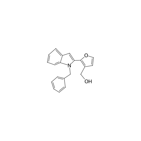 OCc1ccoc1-c1cc2ccccc2n1Cc1ccccc1